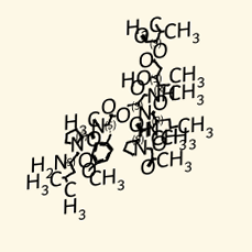 COc1ccc(C[C@@H](C(=O)OC[C@H](NC(=O)[C@@H](CC(C)C)N(C)C(=O)[C@@H]2CCCN2C(=O)C(C)=O)C(=O)N[C@H](C(C)C)[C@@H](O)CC(=O)O[C@H](C=O)C(C)C)N(C)C(=O)[C@@H]2CCCN2C(=O)[C@@H](N)CC(C)C)cc1